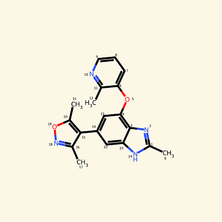 Cc1nc2c(Oc3cccnc3C)cc(-c3c(C)noc3C)cc2[nH]1